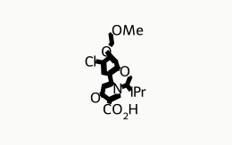 COCCOc1cc2c(cc1Cl)-c1cc(=O)c(C(=O)O)cn1C(C(C)C)CO2